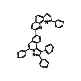 c1ccc(-c2ccc3ccc4ccc(-c5ccc6c(c5)cc(-c5ccccc5)n5nc(-c7ccccc7)c(-c7ccccc7)c65)nc4c3n2)cc1